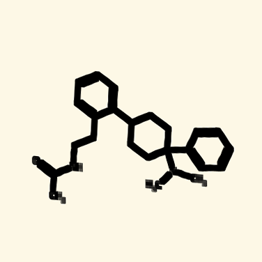 CC(=O)NCCc1ccccc1C1CCC(c2ccccc2)(N(C)C)CC1